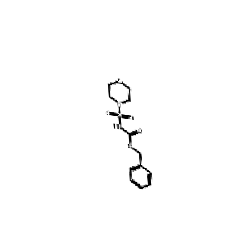 O=C(NS(=O)(=O)N1CCSCC1)OCc1ccccc1